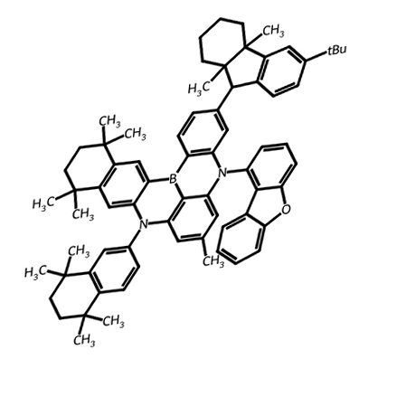 Cc1cc2c3c(c1)N(c1cccc4oc5ccccc5c14)c1cc(C4c5ccc(C(C)(C)C)cc5C5(C)CCCCC45C)ccc1B3c1cc3c(cc1N2c1ccc2c(c1)C(C)(C)CCC2(C)C)C(C)(C)CCC3(C)C